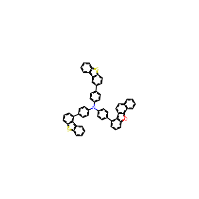 c1ccc2c(c1)ccc1c2oc2cccc(-c3ccc(N(c4ccc(-c5ccc6sc7ccccc7c6c5)cc4)c4ccc(-c5cccc6sc7ccccc7c56)cc4)cc3)c21